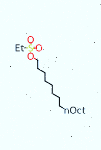 CCCCCCCCCCCCCCCCOS(=O)(=O)CC